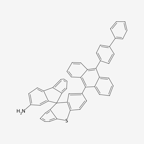 Nc1ccc2c(c1)C1(c3ccccc3Sc3ccc(-c4c5ccccc5c(-c5ccc(-c6ccccc6)cc5)c5ccccc45)cc31)c1ccccc1-2